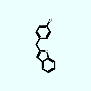 Clc1ccc(Cc2cc3ccccc3o2)cc1